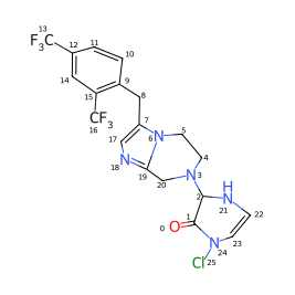 O=C1C(N2CCn3c(Cc4ccc(C(F)(F)F)cc4C(F)(F)F)cnc3C2)NC=CN1Cl